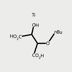 CCCCOC(C(=O)O)C(O)C(=O)O.[Ti]